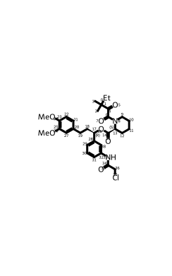 CCC(C)(C)C(=O)C(=O)N1CCCC[C@H]1C(=O)O[C@H](CCc1ccc(OC)c(OC)c1)c1cccc(NC(=O)CCl)c1